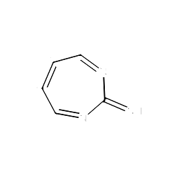 N=c1nccccn1